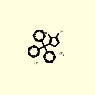 CCCCC1=C(C(c2ccccc2)(c2ccccc2)c2ccccc2)CC=[C]1[Ti+3].[Cl-].[Cl-].[Cl-]